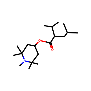 CC(C)CC(C(=O)OC1CC(C)(C)N(C)C(C)(C)C1)C(C)C